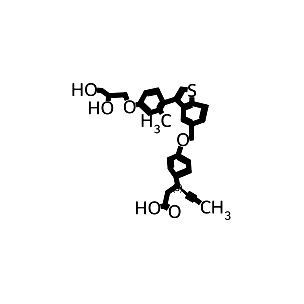 CC#C[C@@H](CC(=O)O)c1ccc(OCc2ccc3scc(-c4ccc(OCC(O)CO)cc4C)c3c2)cc1